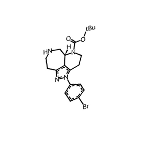 CC(C)(C)OC(=O)N1CCc2c3c(nn2-c2ccc(Br)cc2)CCNC[C@@H]31